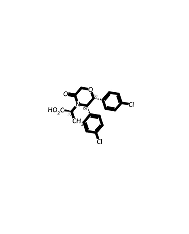 C[C@@H](C(=O)O)N1C(=O)CO[C@H](c2ccc(Cl)cc2)[C@@H]1c1ccc(Cl)cc1